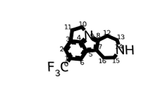 FC(F)(F)c1cc2c3c(c1)c1c(n3CC2)CCNCC1